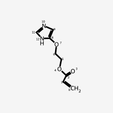 C=CC(=O)OCCOc1cnc[nH]1